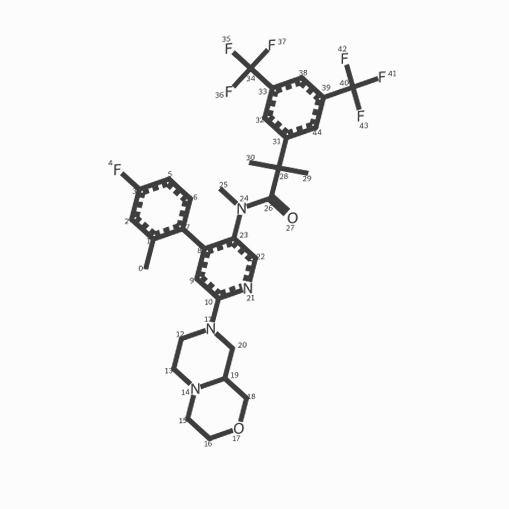 Cc1cc(F)ccc1-c1cc(N2CCN3CCOCC3C2)ncc1N(C)C(=O)C(C)(C)c1cc(C(F)(F)F)cc(C(F)(F)F)c1